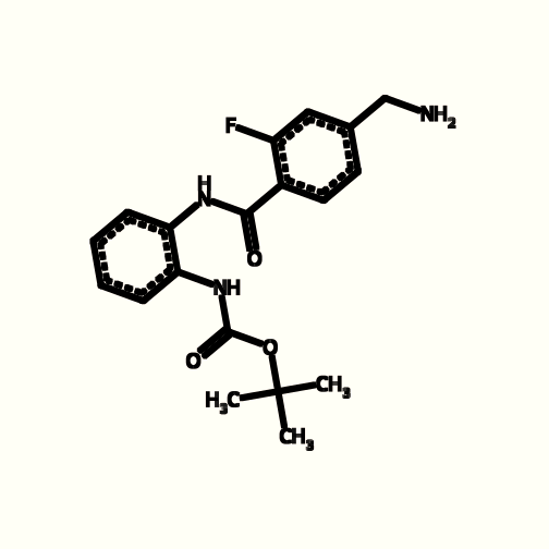 CC(C)(C)OC(=O)Nc1ccccc1NC(=O)c1ccc(CN)cc1F